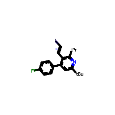 CC(C)c1nc(C(C)(C)C)cc(-c2ccc(F)cc2)c1/C=C/I